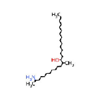 C=C(N)CCCCCCCCCC(C)C(O)CCCCCCCCCCCCCC